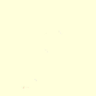 CCCCCN1CCC(c2nc(C(=O)N3CCCC4CCCCC43)cs2)CC1